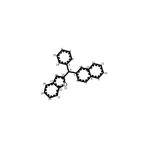 c1ccc(C(c2ccc3ccccc3c2)c2cc3ccccc3o2)cc1